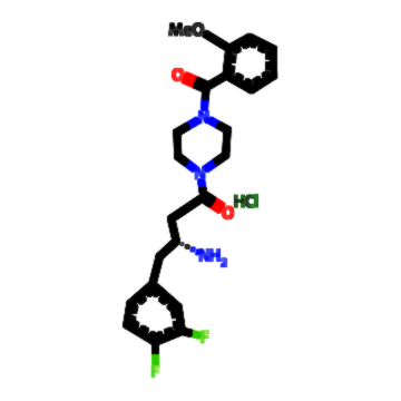 COc1ccccc1C(=O)N1CCN(C(=O)C[C@H](N)Cc2ccc(F)c(F)c2)CC1.Cl